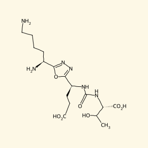 CC(O)[C@H](NC(=O)N[C@@H](CCC(=O)O)c1nnc([C@@H](N)CCCCN)o1)C(=O)O